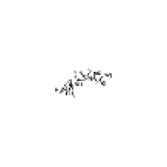 CC(C)(C)OC(=O)N[C@@H]1CCC[C@H](C(=O)Nc2cc(Cl)c(C#N)cn2)C1